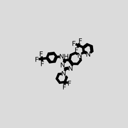 FC1(F)CCCN(c2nc3c(c(Nc4ccc(C(F)(F)F)cc4)n2)CCN(c2ncccc2C(F)(F)F)CC3)C1